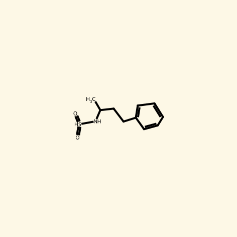 CC(CCc1ccccc1)N[SH](=O)=O